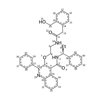 CC[C@H](NC(=O)c1c(OCCNC(=O)Cc2ccccc2CO)c(-c2ccccc2)nc2ccccc12)c1ccccc1